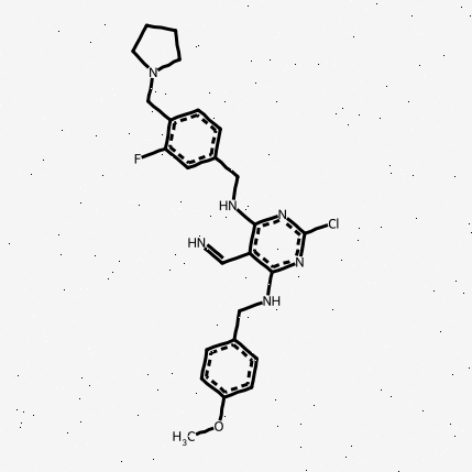 COc1ccc(CNc2nc(Cl)nc(NCc3ccc(CN4CCCC4)c(F)c3)c2C=N)cc1